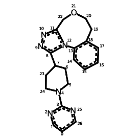 c1cnc(N2CCC(c3nnc4n3-c3ccccc3CCOC4)CC2)nc1